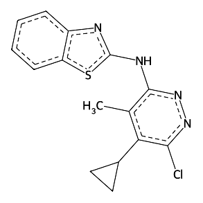 Cc1c(Nc2nc3ccccc3s2)nnc(Cl)c1C1CC1